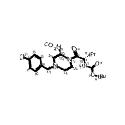 CC(C)[C@H](NC(=O)OC(C)(C)C)C(=O)N1CCN(Cc2ccc(Cl)cc2)C[C@H]1C(=O)O